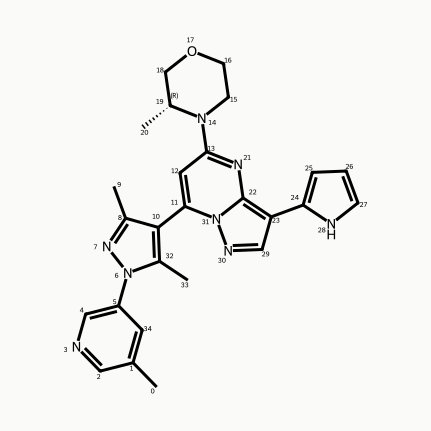 Cc1cncc(-n2nc(C)c(-c3cc(N4CCOC[C@H]4C)nc4c(-c5ccc[nH]5)cnn34)c2C)c1